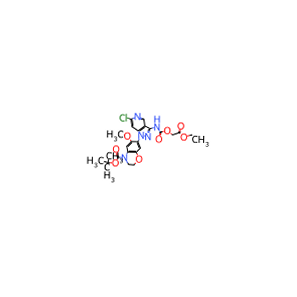 CCOC(=O)COC(=O)Nc1nn(-c2cc3c(cc2OC)N(C(=O)OC(C)(C)C)CCO3)c2cc(Cl)ncc12